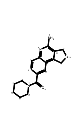 Nc1nc2cnc(C(=O)N3CCCCC3)cc2c2c1COC2